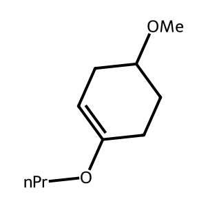 CCCOC1=CCC(OC)CC1